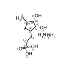 N.N.N[C@@H]1C[C@H](COP(=O)(O)O)[C@@H](O)[C@H]1O